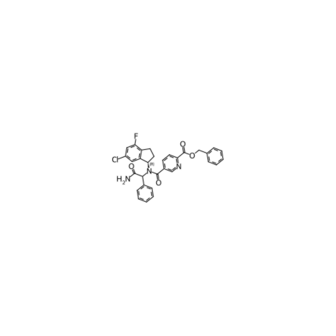 NC(=O)C(c1ccccc1)N(C(=O)c1ccc(C(=O)OCc2ccccc2)nc1)[C@@H]1CCc2c(F)cc(Cl)cc21